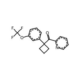 O=C(c1ccccn1)C1(c2cccc(OC(F)(F)F)c2)CCC1